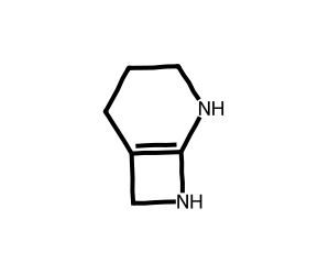 C1CNC2=C(C1)CN2